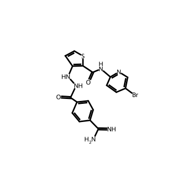 N=C(N)c1ccc(C(=O)NNc2ccsc2C(=O)Nc2ccc(Br)cn2)cc1